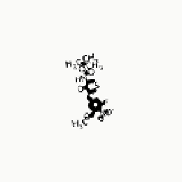 COCc1cc(C[C@@H]2CSC[C@H](NC(=O)OC(C)(C)C)C2=O)cc(F)c1[N+](=O)[O-]